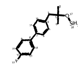 CC(C)(Cc1ccc(-c2ccc(F)cc2)cc1)O[SiH3]